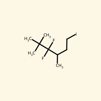 CC(CCI)C(F)(F)C(C)(C)C